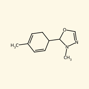 CC1=CCC(C2OC=NN2C)C=C1